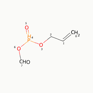 C=CCO[PH](=O)OC=O